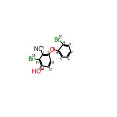 N#Cc1c(Oc2ccccc2Br)ccc(O)c1Br